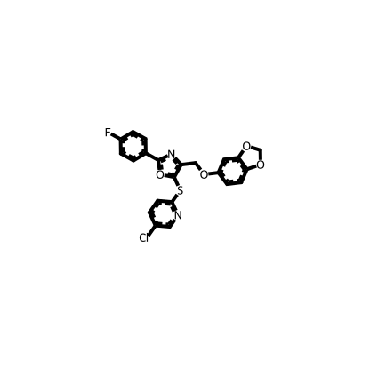 Fc1ccc(-c2nc(COc3ccc4c(c3)OCO4)c(Sc3ccc(Cl)cn3)o2)cc1